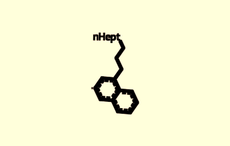 CCCCCCCCCCc1c[c]cc2ccccc12